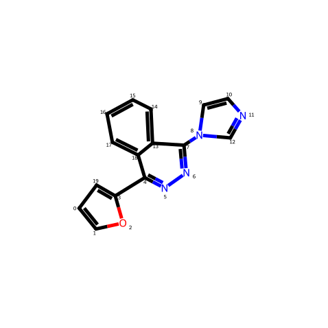 c1coc(-c2nnc(-n3ccnc3)c3ccccc23)c1